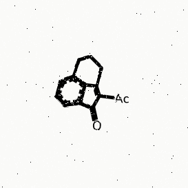 CC(=O)C1=C2CCCc3cccc(c32)C1=O